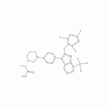 CC(C(=O)O)[C@@H]1CCCN(c2ccc(-c3c4cccc(C(F)(F)F)c4nn3Cc3c(F)cc(F)cc3F)cc2)C1